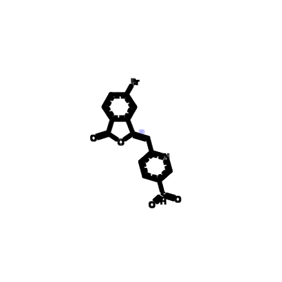 O=C1O/C(=C\c2ccc([SH](=O)=O)cn2)c2cc(Br)ccc21